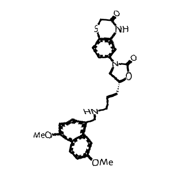 COc1ccc2c(OC)ccc(CNCCC[C@@H]3CN(c4ccc5c(c4)NC(=O)CS5)C(=O)O3)c2c1